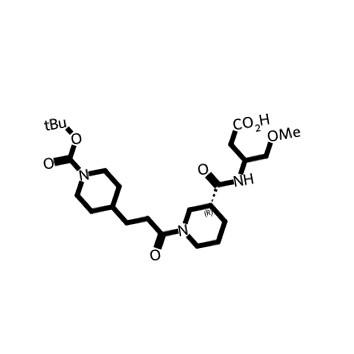 COCC(CC(=O)O)NC(=O)[C@@H]1CCCN(C(=O)CCC2CCN(C(=O)OC(C)(C)C)CC2)C1